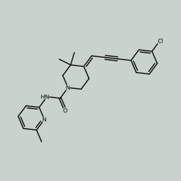 Cc1cccc(NC(=O)N2CC/C(=C\C#Cc3cccc(Cl)c3)C(C)(C)C2)n1